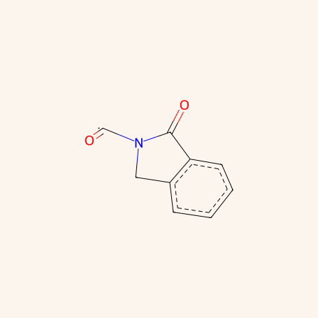 O=[C]N1Cc2ccccc2C1=O